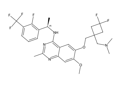 COc1cc2nc(C)nc(N[C@H](C)c3cccc(C(F)(F)F)c3F)c2cc1OCC1(CN(C)C)CC(F)(F)C1